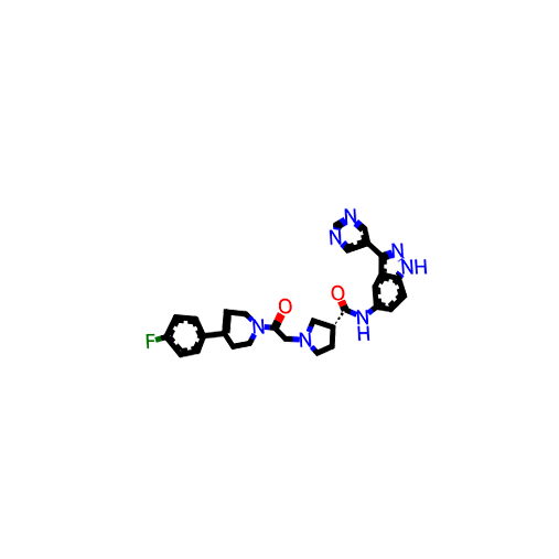 O=C(Nc1ccc2[nH]nc(-c3cncnc3)c2c1)[C@@H]1CCN(CC(=O)N2CC=C(c3ccc(F)cc3)CC2)C1